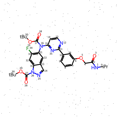 CC(C)NC(=O)COc1cccc(-c2nccc(N(C(=O)OC(C)(C)C)c3cc4cnn(C(=O)OC(C)(C)C)c4cc3F)n2)c1